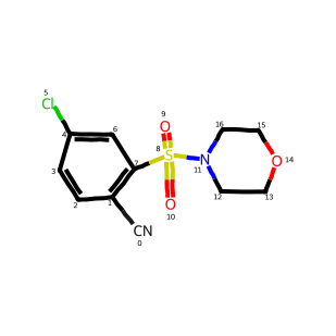 N#Cc1ccc(Cl)cc1S(=O)(=O)N1CCOCC1